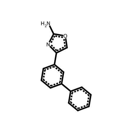 Nc1nc(-c2cccc(-c3ccccc3)c2)co1